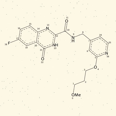 COCCCOc1cc(CNC(=O)c2nc3ccc(F)cc3c(=O)[nH]2)ccn1